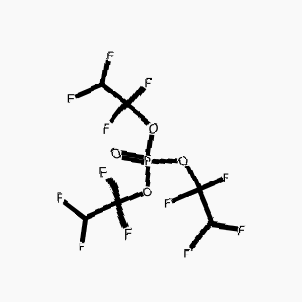 O=P(OC(F)(F)C(F)F)(OC(F)(F)C(F)F)OC(F)(F)C(F)F